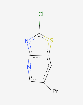 CC(C)c1cnc2nc(Cl)sc2c1